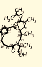 CC(C)OC(=O)N(C)C[C@@H]1OCc2cn(nn2)CCCC(=O)N([C@@H](C)CO)C[C@@H]1C